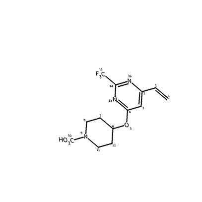 C=Cc1cc(OC2CCN(C(=O)O)CC2)nc(C(F)(F)F)n1